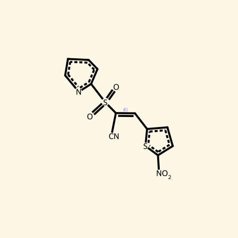 N#C/C(=C\c1ccc([N+](=O)[O-])s1)S(=O)(=O)c1ccccn1